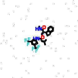 CNC(=O)/C(=C/OC(C=C(C)C)Nc1cc(C(F)(F)F)cc(C(F)(F)F)c1)C1CCc2ccccc21